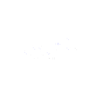 CN=C(NC#N)NCCN(C)c1ccc(N)nn1